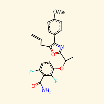 C=CCc1oc(C(C)Oc2ccc(F)c(C(N)=O)c2F)nc1-c1ccc(OC)cc1